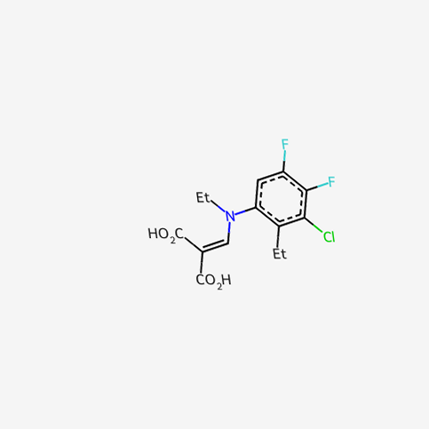 CCc1c(N(C=C(C(=O)O)C(=O)O)CC)cc(F)c(F)c1Cl